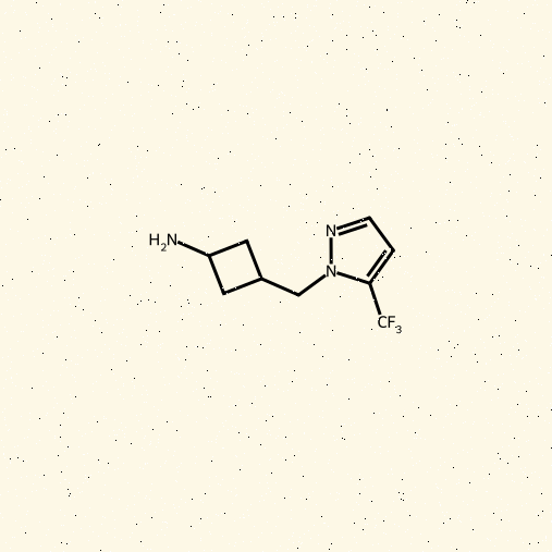 NC1CC(Cn2nccc2C(F)(F)F)C1